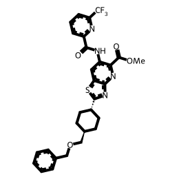 COC(=O)c1nc2nc([C@H]3CC[C@H](COCc4ccccc4)CC3)sc2cc1NC(=O)c1cccc(C(F)(F)F)n1